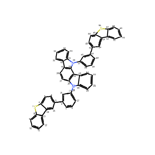 c1cc(-c2ccc3sc4ccccc4c3c2)cc(-n2c3ccccc3c3c2ccc2c4ccccc4n(-c4cccc(-c5ccc6sc7ccccc7c6c5)c4)c23)c1